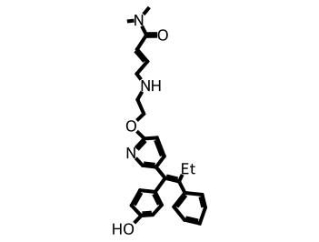 CCC(=C(c1ccc(O)cc1)c1ccc(OCCNCC=CC(=O)N(C)C)nc1)c1ccccc1